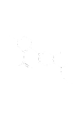 COC(=O)c1ccc(-c2ncc(Br)cc2[N+](=O)[O-])cc1F